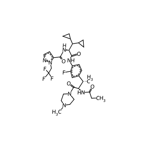 CCC(=O)N[C@@H](C(=O)N1CCN(C)CC1)[C@@H](C)c1ccc(NC(=O)[C@@H](NC(=O)c2ccnn2CC(F)(F)F)C(C2CC2)C2CC2)c(F)c1